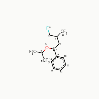 FCC(CB(OC(C(F)(F)F)C(F)(F)F)c1ccccc1)C(F)(F)F